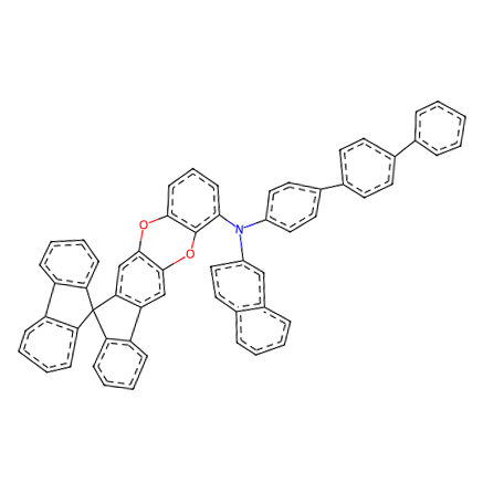 c1ccc(-c2ccc(-c3ccc(N(c4ccc5ccccc5c4)c4cccc5c4Oc4cc6c(cc4O5)C4(c5ccccc5-c5ccccc54)c4ccccc4-6)cc3)cc2)cc1